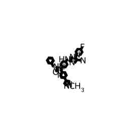 Cn1cc(-c2ccc(N(C(=O)NCc3ccccc3)C3CCC(Nc4ncc(C#N)c(N5CCC(F)CC5)n4)CC3)nc2)cn1